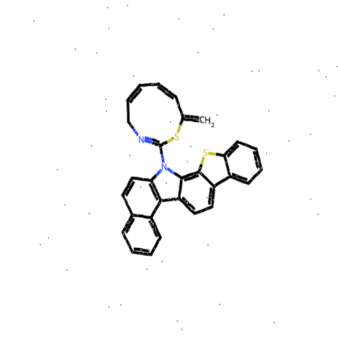 C=C1/C=C\C=C/C/N=C(/n2c3ccc4ccccc4c3c3ccc4c5ccccc5sc4c32)S1